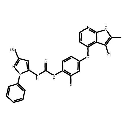 Cc1[nH]c2nccc(Oc3ccc(NC(=O)Nc4cc(C(C)(C)C)nn4-c4ccccc4)c(F)c3)c2c1Cl